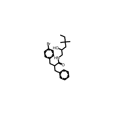 CCC(C)(C)CC(O)CNC(=O)[C](Cc1ccccc1)Cc1ccc(Br)cc1